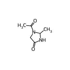 CC(=O)N1CC(=O)NC1C